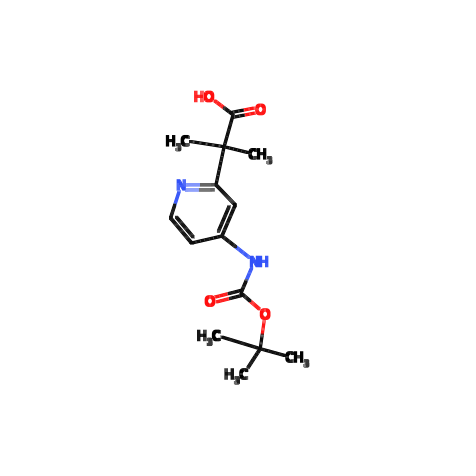 CC(C)(C)OC(=O)Nc1ccnc(C(C)(C)C(=O)O)c1